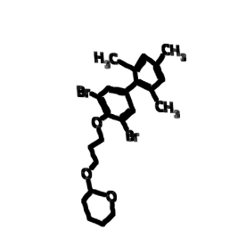 Cc1cc(C)c(-c2cc(Br)c(OCCCOC3CCCCO3)c(Br)c2)c(C)c1